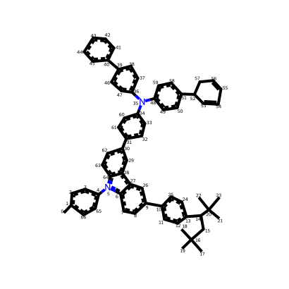 Cc1ccc(-n2c3ccc(-c4ccc(C(CC(C)(C)C)C(C)(C)C)cc4)cc3c3cc(-c4ccc(N(c5ccc(-c6ccccc6)cc5)c5ccc(C6C=CC=CC6)cc5)cc4)ccc32)cc1